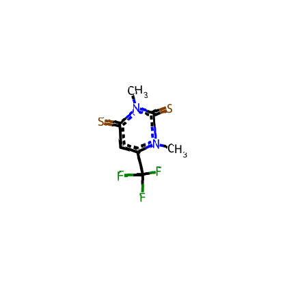 Cn1c(C(F)(F)F)cc(=S)n(C)c1=S